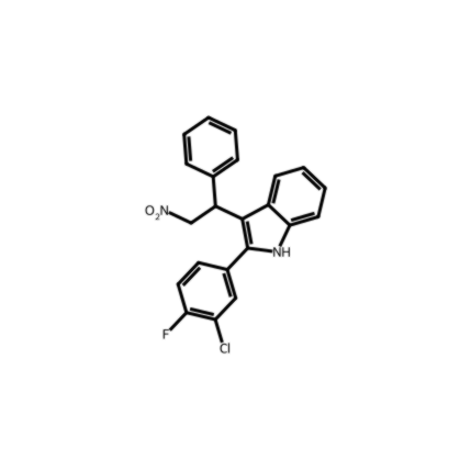 O=[N+]([O-])CC(c1ccccc1)c1c(-c2ccc(F)c(Cl)c2)[nH]c2ccccc12